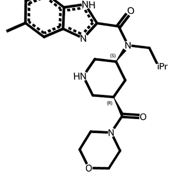 Cc1ccc2[nH]c(C(=O)N(CC(C)C)[C@@H]3CNC[C@H](C(=O)N4CCOCC4)C3)nc2c1